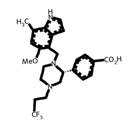 COc1cc(C)c2[nH]ccc2c1CN1CCN(CCC(F)(F)F)C[C@H]1c1ccc(C(=O)O)cc1